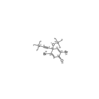 C[Si](C)(C)C#CC1(O[Si](C)(C)C)C=C(Br)C(=O)C=C1Br